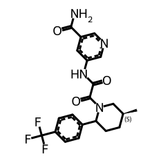 C[C@H]1CCC(c2ccc(C(F)(F)F)cc2)N(C(=O)C(=O)Nc2cncc(C(N)=O)c2)C1